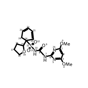 COc1cc(OC)nc(NC(=O)NS(=O)(=O)C2(C3CCCO3)C=CC=CC2)n1